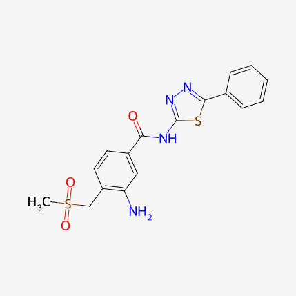 CS(=O)(=O)Cc1ccc(C(=O)Nc2nnc(-c3ccccc3)s2)cc1N